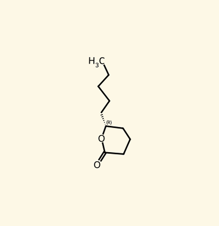 CCCCC[C@@H]1CCCC(=O)O1